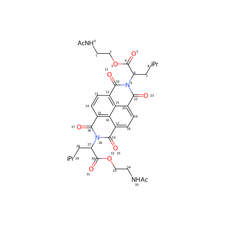 CC(=O)NCCOC(=O)C(CC(C)C)N1C(=O)c2ccc3c4c(ccc(c24)C1=O)C(=O)N(C(CC(C)C)C(=O)OCCNC(C)=O)C3=O